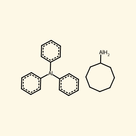 [AlH2][CH]1CCCCCCC1.c1cc[c]([Al]([c]2ccccc2)[c]2ccccc2)cc1